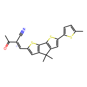 CC(=O)/C(C#N)=C/c1cc2c(s1)-c1sc(-c3ccc(C)s3)cc1C2(C)C